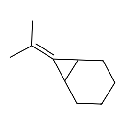 CC(C)=C1C2CCCCC12